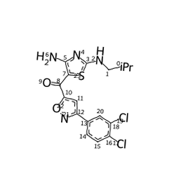 CC(C)CNc1nc(N)c(C(=O)c2cc(-c3ccc(Cl)c(Cl)c3)no2)s1